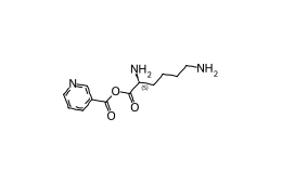 NCCCC[C@H](N)C(=O)OC(=O)c1cccnc1